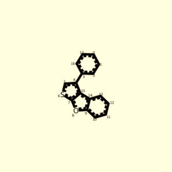 c1ccc(-c2csc3oc4ccccc4c23)cc1